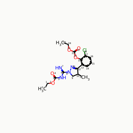 CCOC(=O)NC(=N)N1CC(C)C(c2cccc(Cl)c2OC(=O)OCC)=N1